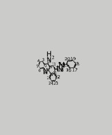 Nc1c2ccccc2nc2c1cc(N=Nc1ccccc1)c1ccccc12